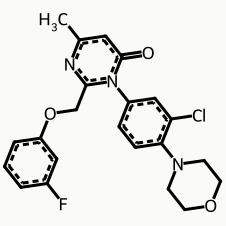 Cc1cc(=O)n(-c2ccc(N3CCOCC3)c(Cl)c2)c(COc2cccc(F)c2)n1